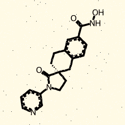 O=C(NO)c1ccc2c(c1)CC[C@@]1(CCN(c3cccnc3)C1=O)C2